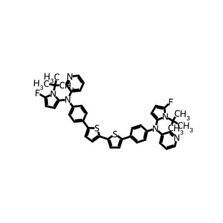 CC(C)(C)n1c(F)ccc1N(c1ccc(-c2ccc(-c3ccc(-c4ccc(N(c5cccnc5)c5ccc(F)n5C(C)(C)C)cc4)s3)s2)cc1)c1cccnc1